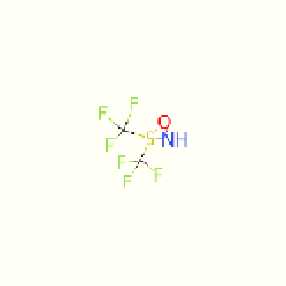 FC(F)(F)S1(C(F)(F)F)NO1